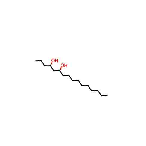 CCCCCCCCCCC(O)CC(O)CCC